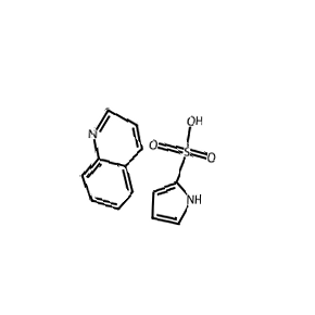 O=S(=O)(O)c1ccc[nH]1.c1ccc2ncccc2c1